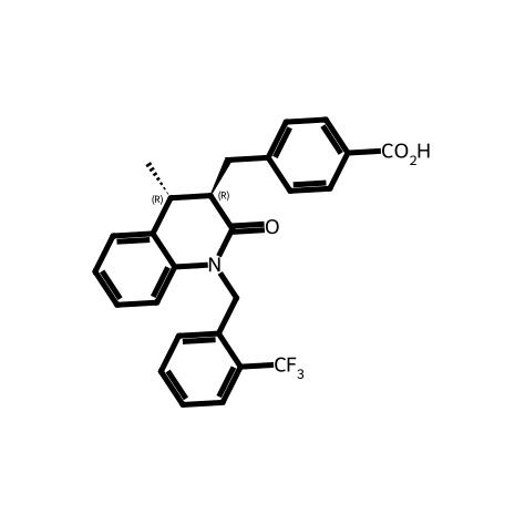 C[C@H]1c2ccccc2N(Cc2ccccc2C(F)(F)F)C(=O)[C@@H]1Cc1ccc(C(=O)O)cc1